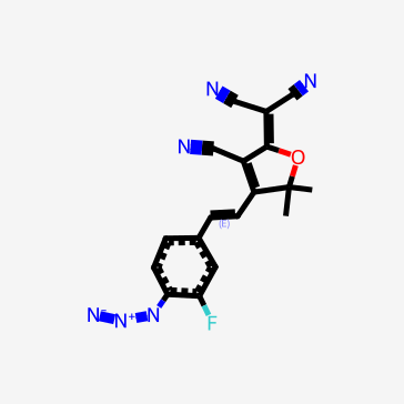 CC1(C)OC(=C(C#N)C#N)C(C#N)=C1/C=C/c1ccc(N=[N+]=[N-])c(F)c1